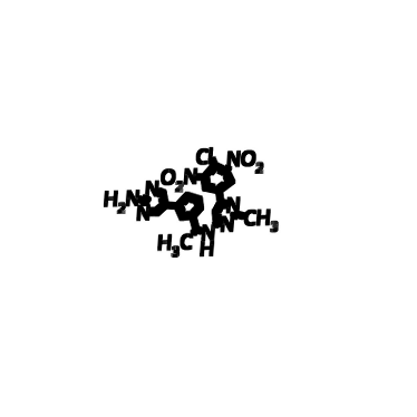 Cc1nc(NC(C)c2cccc(-c3cnc(N)nc3)c2)cc(-c2cc([N+](=O)[O-])c(Cl)c([N+](=O)[O-])c2)n1